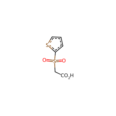 O=C(O)CS(=O)(=O)c1cccs1